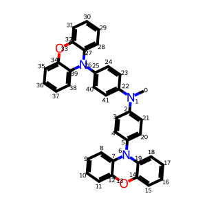 CN(c1ccc(N2c3ccccc3Oc3ccccc32)cc1)c1ccc(N2c3ccccc3Oc3ccccc32)cc1